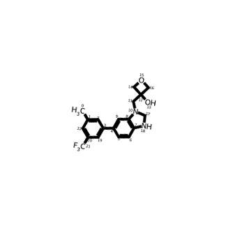 Cc1cc(-c2ccc3c(c2)N(CC2(O)COC2)CN3)cc(C(F)(F)F)c1